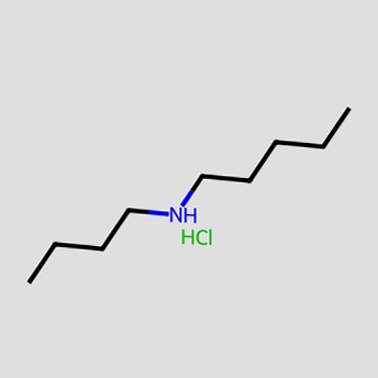 CCCCCNCCCC.Cl